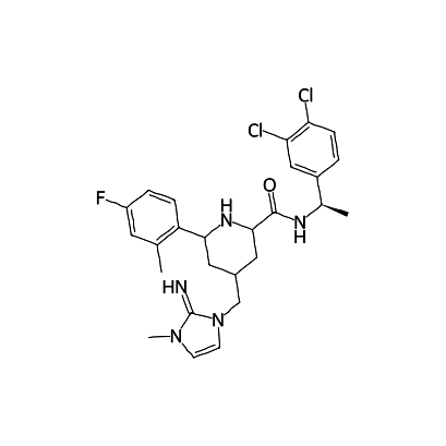 Cc1cc(F)ccc1C1CC(Cn2ccn(C)c2=N)CC(C(=O)N[C@H](C)c2ccc(Cl)c(Cl)c2)N1